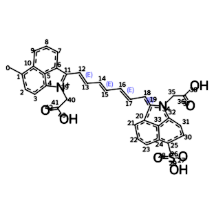 Cc1ccc2c3c(cccc13)C(/C=C/C=C/C=C/C=c1\c3cccc4c(S(=O)(=O)O)ccc(c43)n1CC(=O)O)=[N+]2CC(=O)O